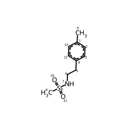 Cc1ccc(CCNS(C)(=O)=O)cc1